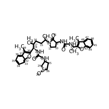 Cc1c([C@H](C)NC(=O)NC2CCN(C(C)CCC(C)[C@@H](NC(=O)NC3CC[S+]([O-])C3)c3oc4ccccc4c3C)C2=O)oc2ccccc12